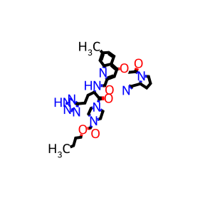 CCCCOC(=O)N1CCN(C(=O)C(CCc2nn[nH]n2)NC(=O)c2cc(OCC(=O)N3CCCC3C#N)c3ccc(C)cc3n2)CC1